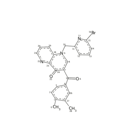 Cc1ccc(C(=O)c2cn(Cc3cccc(Br)n3)c3cccnc3c2=O)cc1C